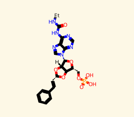 CCNC(=O)Nc1ncnc2c1ncn2[C@@H]1O[C@H](COP(=O)(O)O)C2O[C@H](/C=C/c3ccccc3)O[C@@H]21